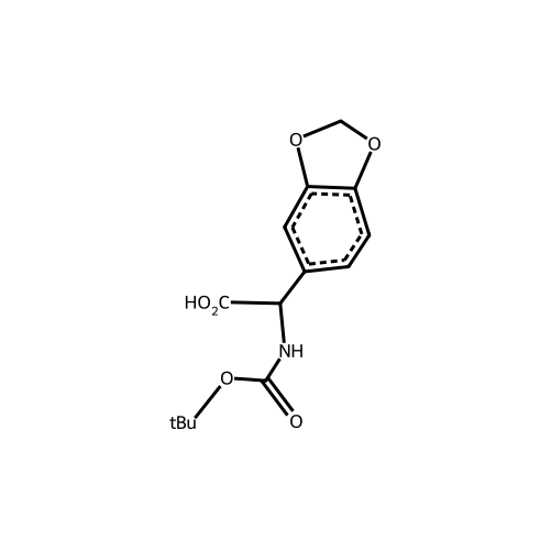 CC(C)(C)OC(=O)NC(C(=O)O)c1ccc2c(c1)OCO2